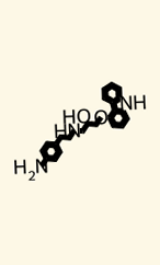 Nc1ccc(CCNC[C@H](O)COc2cccc3[nH]c4ccccc4c23)cc1